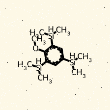 COc1c([SiH](C)C)cc([SiH](C)C)cc1[SiH](C)C